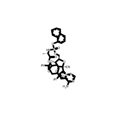 CC(C)C(=O)O[C@H]1[C@@H](OC(=O)C(C)C)[C@](C#N)(c2ccc3c(N)ncnn23)O[C@@H]1COP(=O)(N[C@@H](C)C(=O)OC1CCCCC1)Oc1cccc2ccccc12